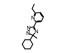 CCc1cccc(C2=NC(C)(C3CCCCC3)N=N2)n1